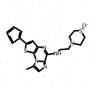 Cc1cnc2c(NCCN3CC[S+]([O-])CC3)nc3cc(-c4ccccc4)sc3n12